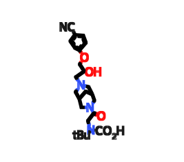 CC(C)(C)N(CC(=O)N1CC2CC(CN(CC(O)COc3ccc(C#N)cc3)C2)C1)C(=O)O